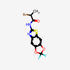 CC(Br)C(=O)Nc1nc2cc3c(cc2s1)OC(F)(F)O3